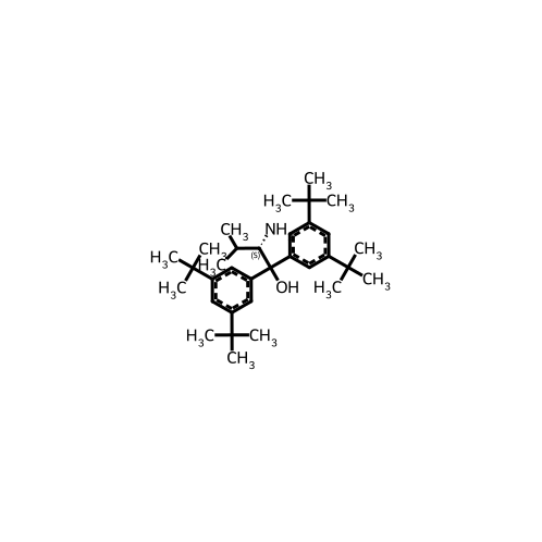 CC(C)[C@H](N)C(O)(c1cc(C(C)(C)C)cc(C(C)(C)C)c1)c1cc(C(C)(C)C)cc(C(C)(C)C)c1